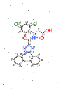 O=C(O)C[C@H](NC(=O)c1nc(-c2ccccc2)n(-c2ccccc2)n1)c1ccc(Cl)cc1Cl